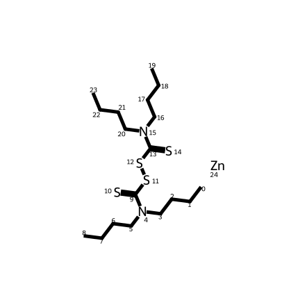 CCCCN(CCCC)C(=S)SSC(=S)N(CCCC)CCCC.[Zn]